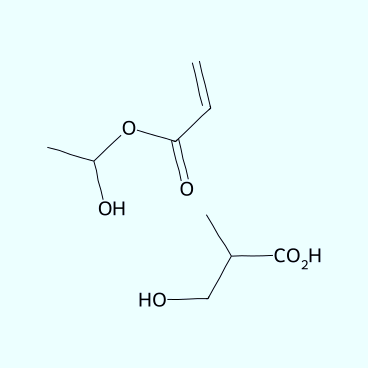 C=CC(=O)OC(C)O.CC(CO)C(=O)O